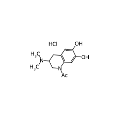 CC(=O)N1CC(N(C)C)Cc2cc(O)c(O)cc21.Cl